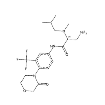 CC(C)CN(C)[C@H](CN)C(=O)Nc1ccc(N2CCOCC2=O)c(C(F)(F)F)c1